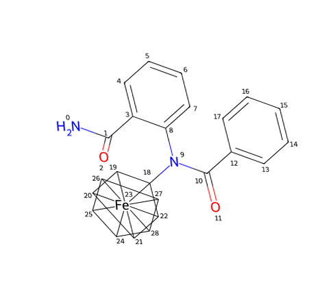 NC(=O)c1ccccc1N(C(=O)c1ccccc1)[C]12[CH]3[CH]4[CH]5[CH]1[Fe]45321678[CH]2[CH]1[CH]6[CH]7[CH]28